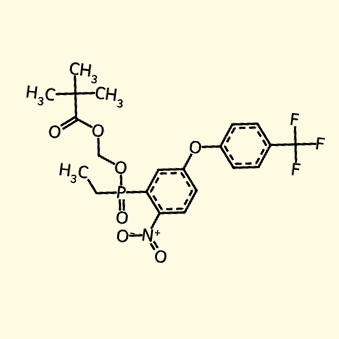 CCP(=O)(OCOC(=O)C(C)(C)C)c1cc(Oc2ccc(C(F)(F)F)cc2)ccc1[N+](=O)[O-]